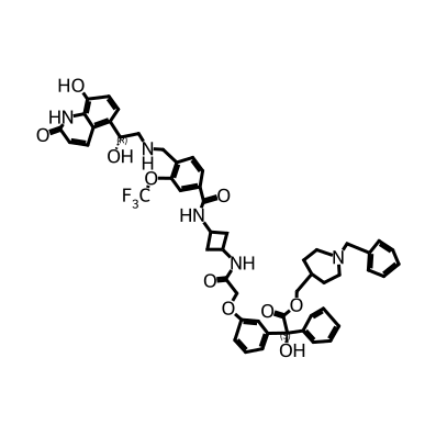 O=C(COc1cccc([C@](O)(C(=O)OCC2CCN(Cc3ccccc3)CC2)c2ccccc2)c1)NC1CC(NC(=O)c2ccc(CNC[C@H](O)c3ccc(O)c4[nH]c(=O)ccc34)c(OC(F)(F)F)c2)C1